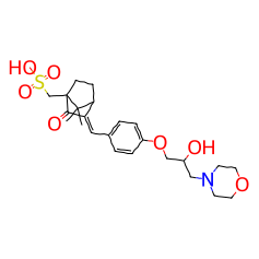 CC1(C)C2CCC1(CS(=O)(=O)O)C(=O)C2=Cc1ccc(OCC(O)CN2CCOCC2)cc1